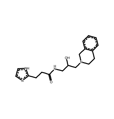 O=C(CCc1ncc[nH]1)NCC(O)CN1CCc2ccccc2C1